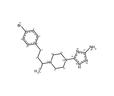 CC(CCc1ccc(Br)cc1)N1CCN(c2nc(N)n[nH]2)CC1